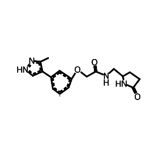 Cc1n[nH]cc1-c1c[c]cc(OCC(=O)NCC2CCC(=O)N2)c1